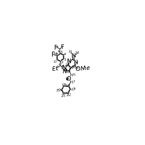 CCC(c1ccc(C(F)F)c(F)c1)n1nc(COCc2ccccc2)c2c(OC)nc(N(C)C)nc21